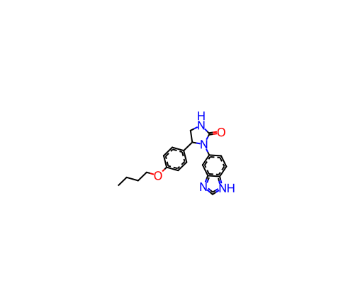 CCCCOc1ccc(C2CNC(=O)N2c2ccc3[nH]cnc3c2)cc1